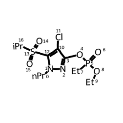 CCCn1nc(OP(=O)(CC)OCC)c(Cl)c1S(=O)(=O)C(C)C